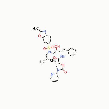 Cc1nc2ccc(S(=O)(=O)N(CC(C)C)C[C@@H](O)[C@H](Cc3ccccc3)NC(=O)[C@@H]3CN(c4ccccn4)C(=O)O3)cc2o1